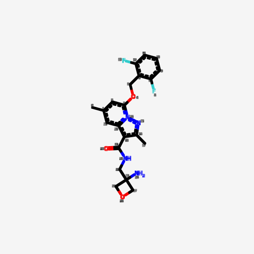 Cc1cc(OCc2c(F)cccc2F)n2nc(C)c(C(=O)NCC3(N)COC3)c2c1